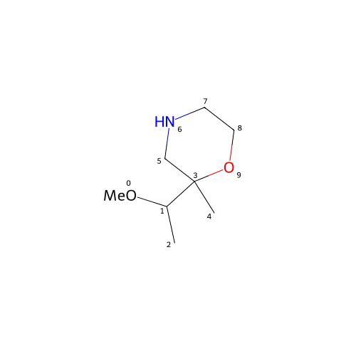 COC(C)C1(C)CNCCO1